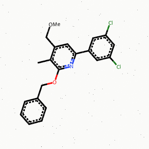 COCc1cc(-c2cc(Cl)cc(Cl)c2)nc(OCc2ccccc2)c1C